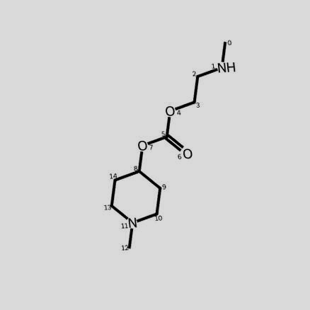 CNCCOC(=O)OC1CCN(C)CC1